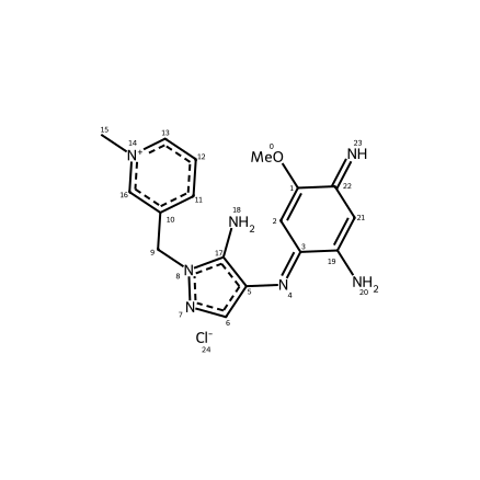 COC1=CC(=Nc2cnn(Cc3ccc[n+](C)c3)c2N)C(N)=CC1=N.[Cl-]